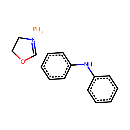 C1=NCCO1.P.c1ccc(Nc2ccccc2)cc1